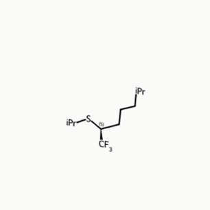 CC(C)CCC[C@H](SC(C)C)C(F)(F)F